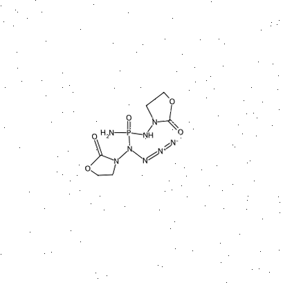 [N-]=[N+]=NN(N1CCOC1=O)P(N)(=O)NN1CCOC1=O